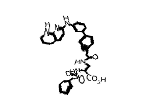 O=C(NCC(NS(=O)(=O)c1ccccc1)C(=O)O)c1ccc(-c2cccc(Nc3ccc4c(n3)NCCC4)c2)cc1